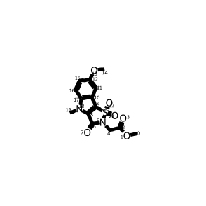 COC(=O)CN1C(=O)c2c(c3cc(OC)ccc3n2C)S1(=O)=O